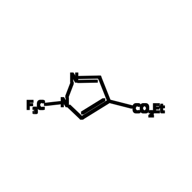 CCOC(=O)c1cnn(C(F)(F)F)c1